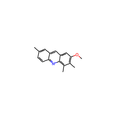 COc1cc2cc3cc(C)ccc3nc2c(C)c1C